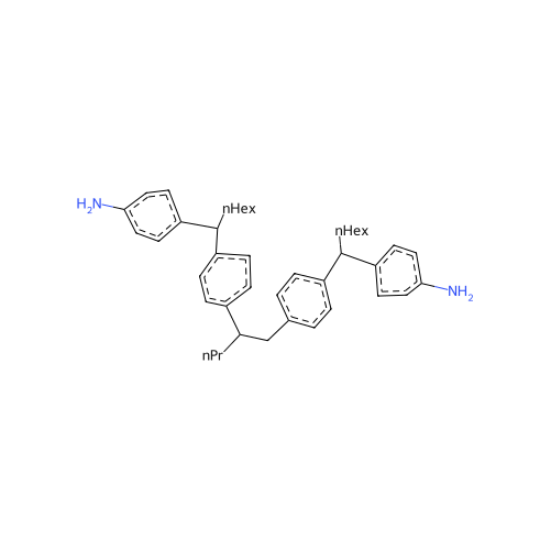 CCCCCCC(c1ccc(N)cc1)c1ccc(CC(CCC)c2ccc(C(CCCCCC)c3ccc(N)cc3)cc2)cc1